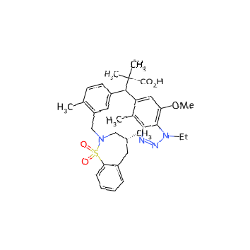 CCn1nnc2c(C)c(C(c3ccc(C)c(CN4C[C@H](C)Cc5ccccc5S4(=O)=O)c3)C(C)(C)C(=O)O)cc(OC)c21